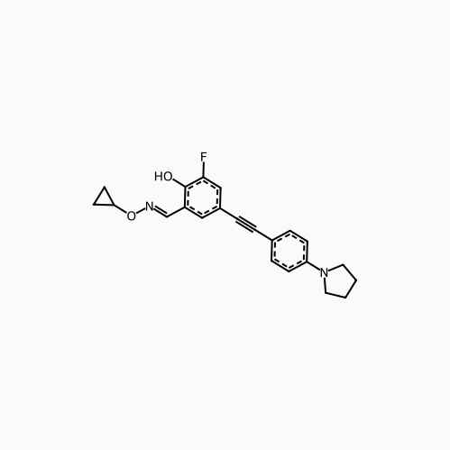 Oc1c(F)cc(C#Cc2ccc(N3CCCC3)cc2)cc1C=NOC1CC1